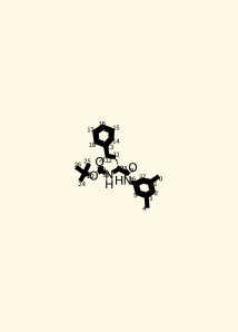 Cc1cc(C)cc(NC(=O)[C@@H](CCc2ccccc2)NC(=O)OC(C)(C)C)c1